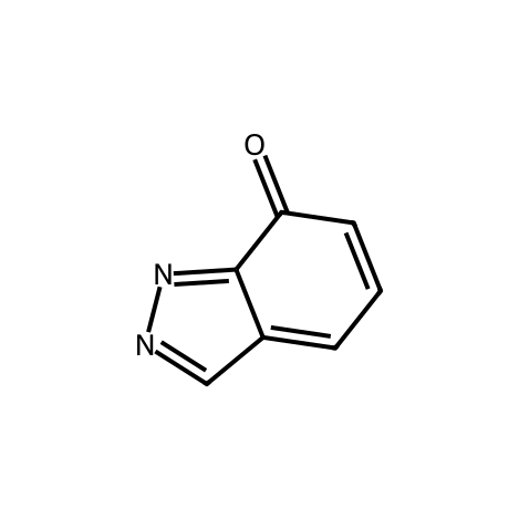 O=C1C=CC=C2C=NN=C12